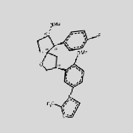 CN[C@H]1CC[C@@]2(C[C@@H](c3cc(-n4ccnc4C(F)(F)F)ccc3OC)CO2)[C@@H]1c1ccc(F)cc1